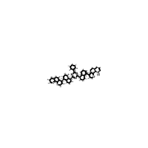 C1=CNC2C(=C1)C=Cc1c(-c3cccc4c(-c5nc(-c6ccccc6)nc(-c6cccc7c(-c8ccnc9c8ccc8cccnc89)cccc67)n5)cccc34)ccnc12